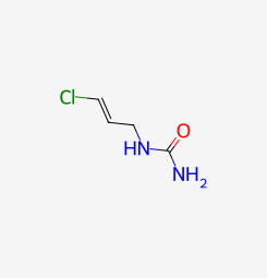 NC(=O)NCC=CCl